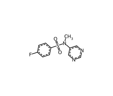 CN(c1cncnc1)S(=O)(=O)c1ccc(F)cc1